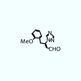 COc1ccccc1CC(=CC=O)n1cncn1